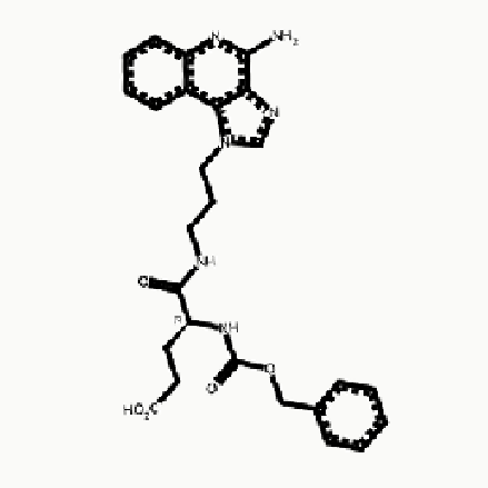 Nc1nc2ccccc2c2c1ncn2CCCNC(=O)[C@H](CCC(=O)O)NC(=O)OCc1ccccc1